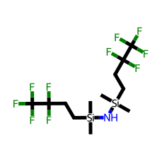 C[Si](C)(CCC(F)(F)C(F)(F)F)N[Si](C)(C)CCC(F)(F)C(F)(F)F